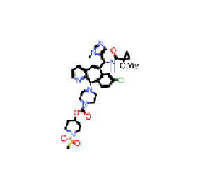 COC1(C(=O)N[C@H](C2=Cc3cccnc3[C@@H](N3CCN(C(=O)OC4CCN(S(C)(=O)=O)CC4)CC3)c3ccc(Cl)cc32)c2cncn2C)CC1